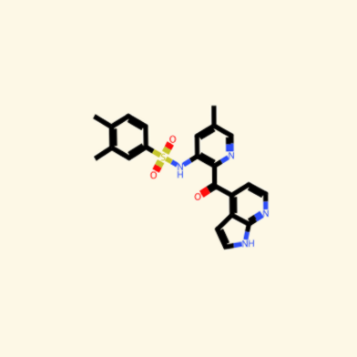 Cc1cnc(C(=O)c2ccnc3[nH]ccc23)c(NS(=O)(=O)c2ccc(C)c(C)c2)c1